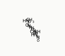 CNC(=O)CCC(=O)N1CCN(c2cc(C)c3cc(NC(=O)CNC4CCN(Cc5ccccc5)CC4)ccc3n2)CC1